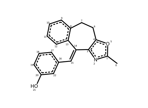 Cc1nc2c(o1)CCc1ccccc1C2=Cc1cccc(O)c1